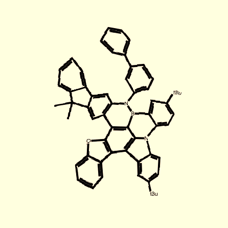 CC(C)(C)c1ccc2c(c1)B1c3c(c4oc5ccccc5c4c4c5cc(C(C)(C)C)ccc5n-2c34)-c2cc3c(cc2N1c1cccc(-c2ccccc2)c1)-c1ccccc1C3(C)C